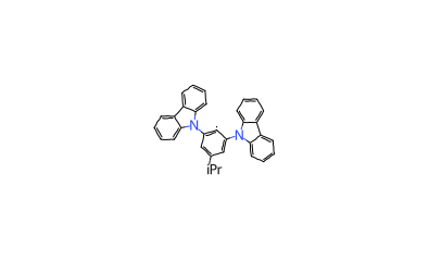 CC(C)c1cc(-n2c3ccccc3c3ccccc32)[c]c(-n2c3ccccc3c3ccccc32)c1